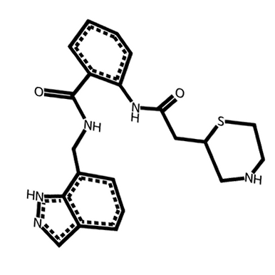 O=C(CC1CNCCS1)Nc1ccccc1C(=O)NCc1cccc2cn[nH]c12